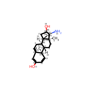 C[C@]12CC[C@H]3[C@@H](CC=C4C=C(O)C=C[C@@]43C)[C@@H]1C[C@@H](O)[C@H]2N